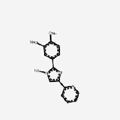 COc1ccc(-c2nc(-c3ccccn3)cn2O)cc1OC